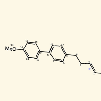 C/C=C/CCc1ccc(-c2ccc(OC)cc2)cc1